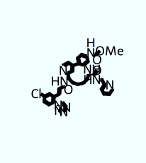 COC(=O)Nc1ccc2c(c1)N[C@@H](C(=O)NCc1ccccn1)CCCC[C@H](NC(=O)/C=C/c1cc(Cl)ccc1-n1cnnn1)c1cc-2ccn1